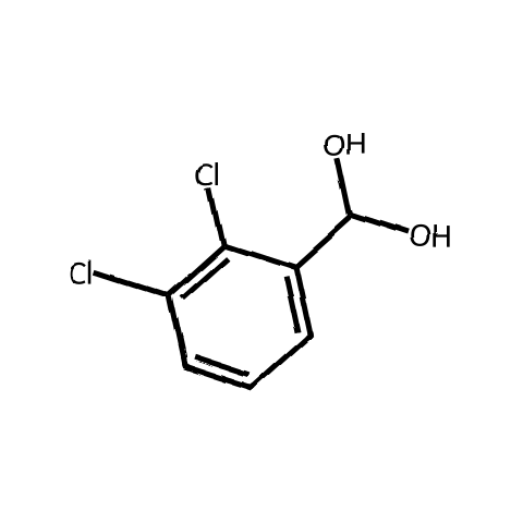 OC(O)c1cccc(Cl)c1Cl